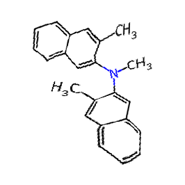 Cc1cc2ccccc2cc1N(C)c1cc2ccccc2cc1C